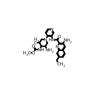 CCc1ccc2cc(N)c(C(=O)Nc3cnccc3N3CC(C)C(NC(=O)OC)C(N)C3)nc2c1